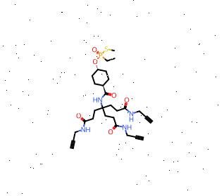 C#CCNC(=O)CCC(CCC(=O)NCC#C)(CCC(=O)NCC#C)NC(=O)[C@H]1CC[C@H](OP(=O)(CC)SC)CC1